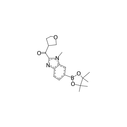 Cn1c(C(=O)C2CCOC2)nc2ccc(B3OC(C)(C)C(C)(C)O3)cc21